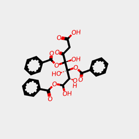 O=C(O)CC(=O)[C@@](O)(OC(=O)c1ccccc1)[C@@](O)(OC(=O)c1ccccc1)[C@H](O)C(O)OC(=O)c1ccccc1